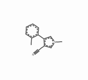 Cc1ccccc1-c1cn(C)cc1C#N